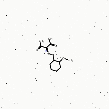 COC1CCCCC1O/N=C(/C(C)=O)C(=O)O